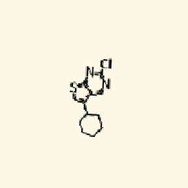 Clc1ncc2c(C3CCCCC3)csc2n1